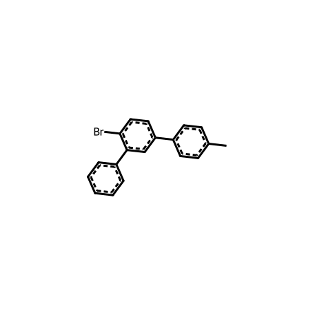 Cc1ccc(-c2ccc(Br)c(-c3ccccc3)c2)cc1